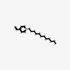 C=Cc1cc[n+](CCCCCCCCCCCC)cc1